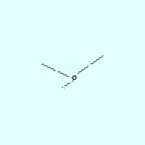 CCCCCCCCCC(=O)OCCCCCCCCOc1ccc(COC(=O)CCCN(C)C)c(OCCCCCCCCOC(=O)CCCCCCCCC)c1